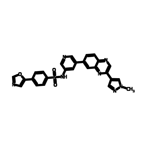 Cn1cc(-c2cnc3ccc(-c4cncc(NS(=O)(=O)c5ccc(-c6cnco6)cc5)c4)cc3n2)cn1